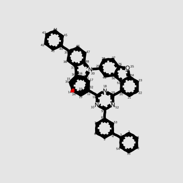 c1ccc(-c2cccc(-c3nc(-c4ccccc4)nc(-c4cccc5oc6ccc(-n7c8ccccc8c8cc(-c9ccccc9)ccc87)cc6c45)n3)c2)cc1